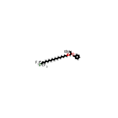 CC(C)(C)CC(COCCCCCCCCCCCCCCCCC(F)(C(F)(F)F)C(F)(F)F)OCc1ccccc1